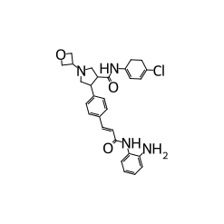 Nc1ccccc1NC(=O)/C=C/c1ccc(C2CN(C3COC3)CC2C(=O)NC2=CC=C(Cl)CC2)cc1